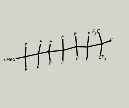 [CH2]CCCCCC(F)(F)C(F)(F)C(F)(F)C(F)(F)C(F)(F)C(F)(F)C(F)(C(F)(F)F)C(F)(F)F